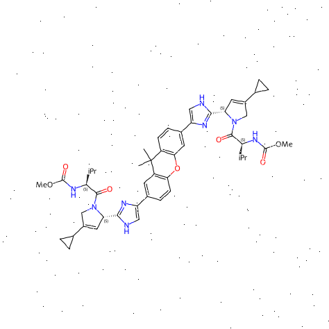 COC(=O)N[C@H](C(=O)N1CC(C2CC2)=C[C@H]1c1nc(-c2ccc3c(c2)Oc2ccc(-c4c[nH]c([C@@H]5C=C(C6CC6)CN5C(=O)[C@@H](NC(=O)OC)C(C)C)n4)cc2C3(C)C)c[nH]1)C(C)C